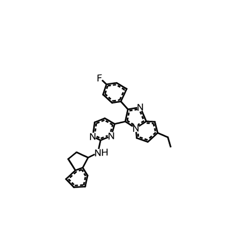 CCc1ccn2c(-c3ccnc(NC4CCc5ccccc54)n3)c(-c3ccc(F)cc3)nc2c1